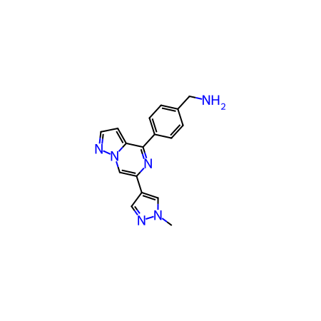 Cn1cc(-c2cn3nccc3c(-c3ccc(CN)cc3)n2)cn1